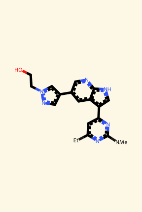 CCc1cc(-c2c[nH]c3ncc(-c4cnn(CCO)c4)cc23)nc(NC)n1